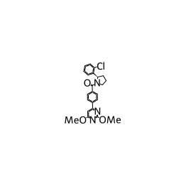 COc1cc(-c2ccc(C(=O)N3CCC[C@@H]3c3ccccc3Cl)cc2)nc(OC)n1